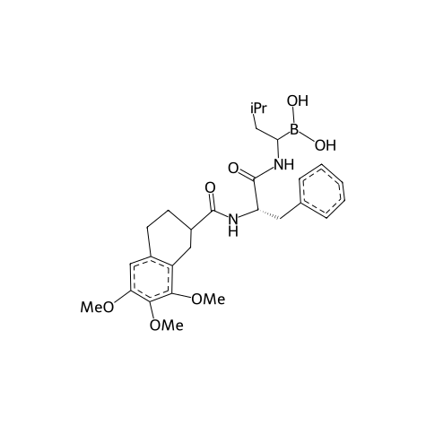 COc1cc2c(c(OC)c1OC)CC(C(=O)N[C@@H](Cc1ccccc1)C(=O)NC(CC(C)C)B(O)O)CC2